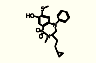 CSc1cc2c(cc1O)S(=O)(=O)N(C)C(CCC1CC1)CN2c1ccccc1